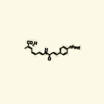 CCCCCc1ccc(/C=C/C(=O)N/C=C/C=C\C=C(/C)C(=O)O)cc1